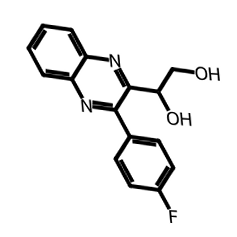 OCC(O)c1nc2ccccc2nc1-c1ccc(F)cc1